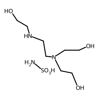 NS(=O)(=O)O.OCCNCCN(CCO)CCO